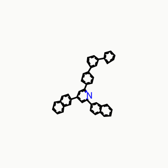 c1ccc(-c2cccc(-c3ccc(-c4cc(-c5ccc6ccccc6c5)cc(-c5ccc6ccccc6c5)n4)cc3)c2)cc1